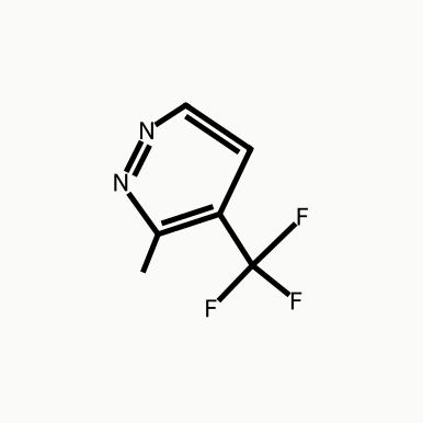 Cc1nnccc1C(F)(F)F